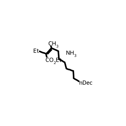 CCCCCCCCCCCCCCCCC(C)=C(CC)C(=O)OCC.N